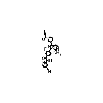 CC#CC(=O)N1CCCC(c2nc(-c3ccc(C(=O)Nc4cc(C#N)ccn4)cc3F)n3c(N)nccc23)C1